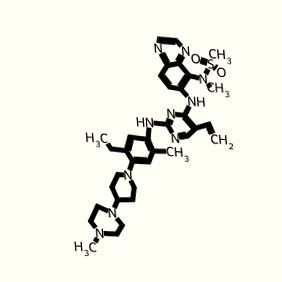 C=Cc1cnc(Nc2cc(CC)c(N3CCC(N4CCN(C)CC4)CC3)cc2C)nc1Nc1ccc2nccnc2c1N(C)S(C)(=O)=O